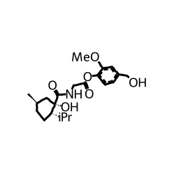 COc1cc(CO)ccc1OC(=O)CNC(=O)[C@]1(O)C[C@H](C)CC[C@H]1C(C)C